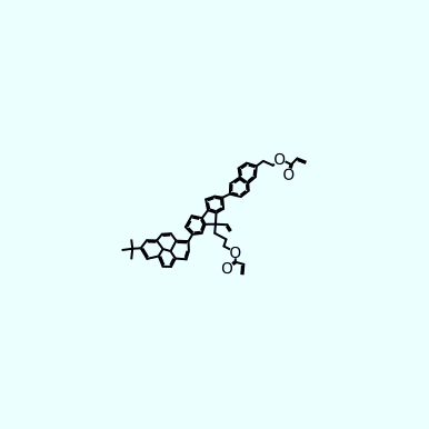 C=CC(=O)OCCCC1(C=C)c2cc(C3=C4C=CC5=CC(C(C)(C)C)=CC6=CC=C(C=C3)C4C65)ccc2-c2ccc(-c3ccc4cc(CCOC(=O)C=C)ccc4c3)cc21